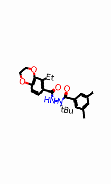 CCc1c(C(=O)NN(C(=O)c2cc(C)cc(C)c2)C(C)(C)C)ccc2c1OCCO2